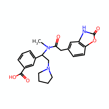 CN(C(=O)Cc1ccc2oc(=O)[nH]c2c1)C(CN1CCCC1)c1cccc(C(=O)O)c1